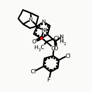 CC(C)(Oc1cc(Cl)c(F)cc1Cl)C(=O)NC1CC2CCC(C1)N2c1ccc(C(N)=O)cn1